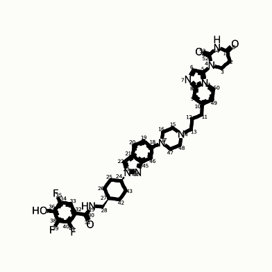 O=C1CCN(c2cnc3cc(CCCN4CCN(c5ccc6cn([C@H]7CC[C@H](CNC(=O)c8cc(F)c(O)c(F)c8F)CC7)nc6c5)CC4)ccn23)C(=O)N1